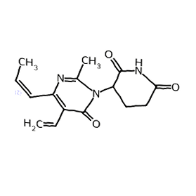 C=Cc1c(/C=C\C)nc(C)n(C2CCC(=O)NC2=O)c1=O